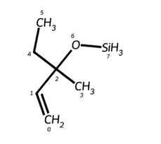 C=CC(C)(CC)O[SiH3]